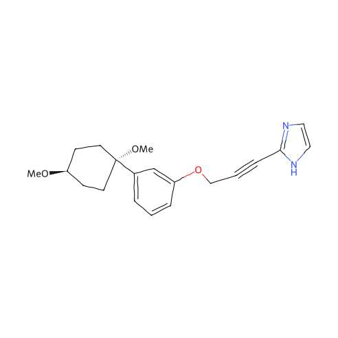 CO[C@H]1CC[C@@](OC)(c2cccc(OCC#Cc3ncc[nH]3)c2)CC1